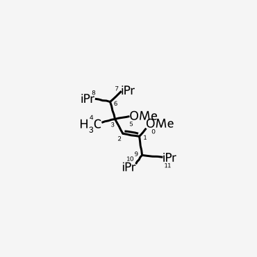 CO/C(=C\C(C)(OC)C(C(C)C)C(C)C)C(C(C)C)C(C)C